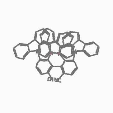 N#Cc1ccc(-n2c3ccccc3c3ccccc32)c(-n2c3ccccc3c3ccccc32)c1-c1c(C#N)ccc(-n2c3ccccc3c3ccccc32)c1-n1c2ccccc2c2ccccc21